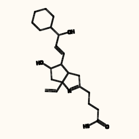 C=CC12CC(O)C(/C=C/C(O)C3CCCCC3)C1CC(CCCC(=O)S)=N2